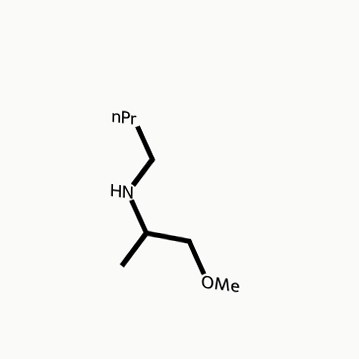 [CH2-][CH+]CCNC(C)COC